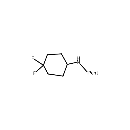 CCCC(C)NC1CCC(F)(F)CC1